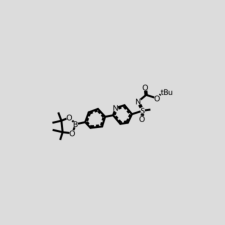 CC(C)(C)OC(=O)N=S(C)(=O)c1ccc(-c2ccc(B3OC(C)(C)C(C)(C)O3)cc2)nc1